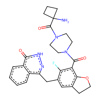 NC1(C(=O)N2CCN(C(=O)c3c(F)c(Cc4n[nH]c(=O)c5ccccc45)cc4c3OCC4)CC2)CCC1